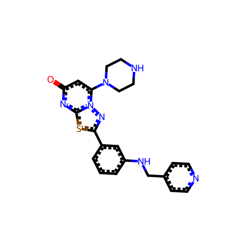 O=c1cc(N2CCNCC2)n2nc(-c3cccc(NCc4ccncc4)c3)sc2n1